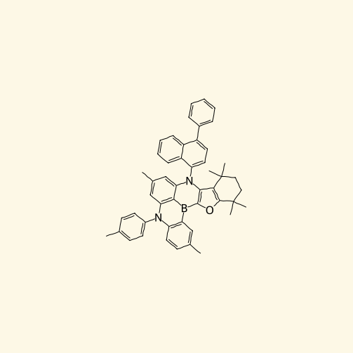 Cc1ccc(N2c3ccc(C)cc3B3c4oc5c(c4N(c4ccc(-c6ccccc6)c6ccccc46)c4cc(C)cc2c43)C(C)(C)CCC5(C)C)cc1